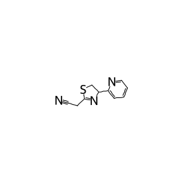 N#CCC1=NC(c2ccccn2)CS1